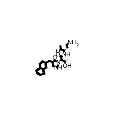 CC(=O)[C@H](CCN)NC(=O)[C@H]([C@H](C)O)N1CNCC(Cc2ccc3ccccc3c2)C1=O